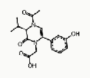 CC(=O)N1C=C(c2cccc(O)c2)N(CC(=O)O)C(=O)[C@H]1C(C)C